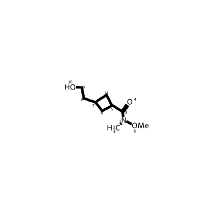 CON(C)C(=O)C1CC(CCO)C1